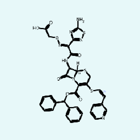 Nc1nc(C(=NOCC(=O)O)C(=O)NC2C(=O)N3C(C(=O)OC(c4ccccc4)c4ccccc4)=C(S/C=C\c4cccnc4)CS[C@@H]23)ns1